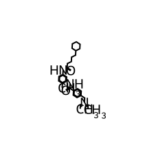 CCN(CC)Cc1ccc(C(=O)Nc2cc(NC(=O)CCCCC3CCCCC3)ccc2C)cc1